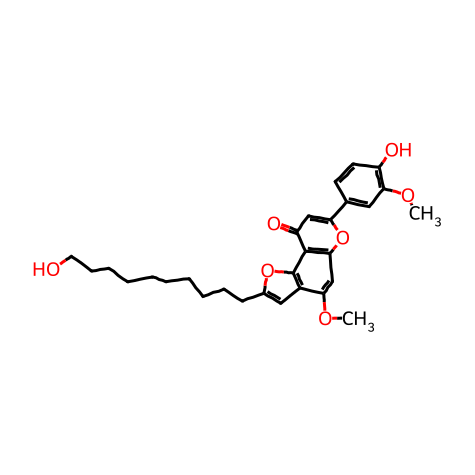 COc1cc(-c2cc(=O)c3c(cc(OC)c4cc(CCCCCCCCCCO)oc43)o2)ccc1O